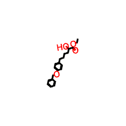 CCOC(=O)C(O)CCCCc1ccc(OCc2ccccc2)cc1